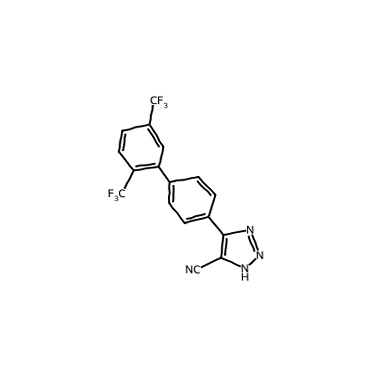 N#Cc1[nH]nnc1-c1ccc(-c2cc(C(F)(F)F)ccc2C(F)(F)F)cc1